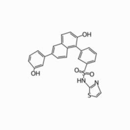 O=S(=O)(Nc1nccs1)c1cccc(-c2c(O)ccc3cc(-c4cccc(O)c4)ccc23)c1